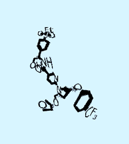 CCS(=O)(=O)c1ccc([C@H](CO)NC(=O)c2ccc(N3C[C@H](Oc4ccc(C(F)(F)F)cc4)C[C@H]3CO[C@@H]3CCOC3)nc2)cc1